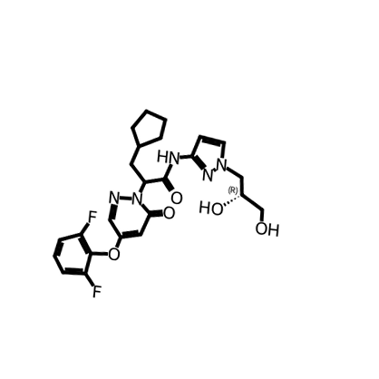 O=C(Nc1ccn(C[C@@H](O)CO)n1)C(CC1CCCC1)n1ncc(Oc2c(F)cccc2F)cc1=O